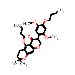 CCCCOc1cc(OC)c(C2COc3cc4c(c(OCCCC)c3C2=O)CCC(C)(C)O4)cc1OC